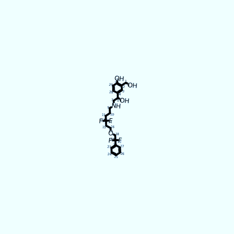 OCc1cc(C(O)CNCCCC(F)(F)CCOCC(F)(F)c2ccccc2)ccc1O